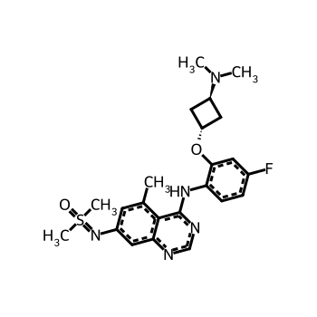 Cc1cc(N=S(C)(C)=O)cc2ncnc(Nc3ccc(F)cc3O[C@H]3C[C@H](N(C)C)C3)c12